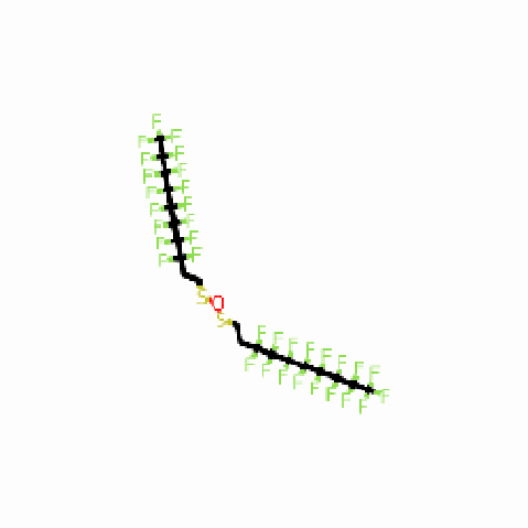 FC(F)(F)C(F)(F)C(F)(F)C(F)(F)C(F)(F)C(F)(F)C(F)(F)C(F)(F)CCSOSCCC(F)(F)C(F)(F)C(F)(F)C(F)(F)C(F)(F)C(F)(F)C(F)(F)C(F)(F)F